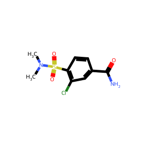 CN(C)S(=O)(=O)c1ccc(C(N)=O)cc1Cl